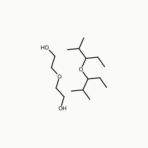 CCC(OC(CC)C(C)C)C(C)C.OCCOCCO